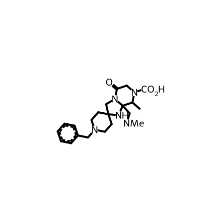 CNCC12NC3(CCN(Cc4ccccc4)CC3)CN1C(=O)CN(C(=O)O)C2C